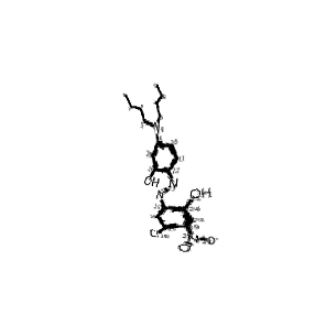 CCCCN(CCCC)c1ccc(N=Nc2cc(Cl)c([N+](=O)[O-])cc2O)c(O)c1